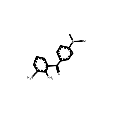 CC(=O)N(C)c1ccc(C(=O)c2cccc(N)c2N)cc1